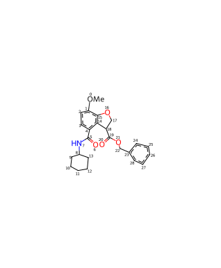 COc1ccc(C(=O)NC2CCCCC2)c2c1OCC2C(=O)OCc1ccccc1